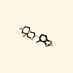 Cc1c([C@H]2CN3CCNC[C@H]3CO2)ccc2nonc12